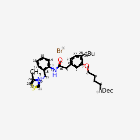 CCCCCCCCCCCCCCOc1cc(CC(=O)Nc2ccccc2C[n+]2cscc2C)ccc1C(C)(C)C.[Br-]